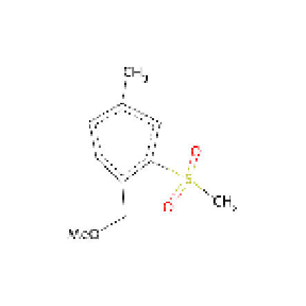 COCc1ccc(C)cc1S(C)(=O)=O